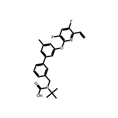 C=Cc1nc(Oc2cc(C)cc(-c3cccc(CN(C(=O)O)C(C)(C)C)c3)c2)c(F)cc1F